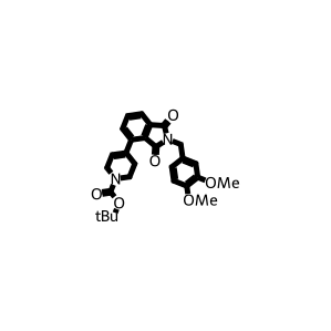 COc1ccc(CN2C(=O)c3cccc(C4=CCN(C(=O)OC(C)(C)C)CC4)c3C2=O)cc1OC